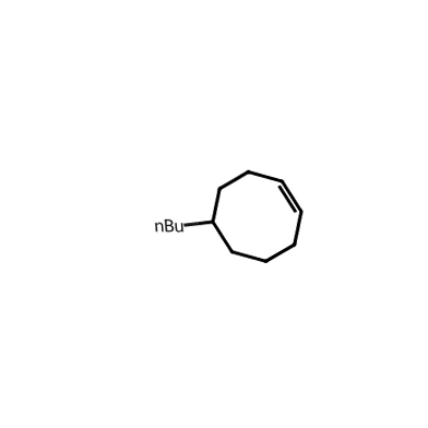 [CH2]CCCC1CC/C=C\CCC1